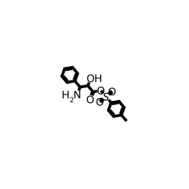 Cc1ccc(S(=O)(=O)OC(=O)C(O)C(N)c2ccccc2)cc1